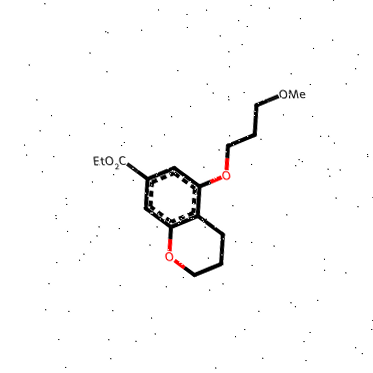 CCOC(=O)c1cc(OCCCOC)c2c(c1)OCCC2